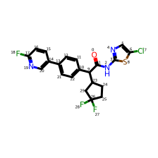 O=C(Nc1ncc(Cl)s1)C(c1ccc(-c2ccc(F)nc2)cc1)C1CCC(F)(F)C1